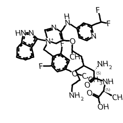 CCOc1cc(F)c(C[N+]2(c3n[nH]c4ccccc34)C=NC(Nc3ccnc(C(F)F)c3)=C(OC(C)CC(CCCN)[C@H](N)C(=O)N[C@@H](C)C(=O)O)C2)c(F)c1